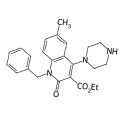 CCOC(=O)c1c(N2CCNCC2)c2cc(C)ccc2n(Cc2ccccc2)c1=O